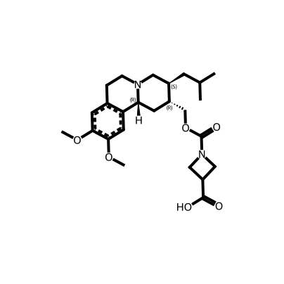 COc1cc2c(cc1OC)[C@H]1C[C@@H](COC(=O)N3CC(C(=O)O)C3)[C@H](CC(C)C)CN1CC2